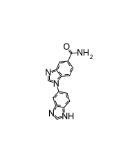 NC(=O)c1ccc2c(c1)ncn2-c1ccc2[nH]cnc2c1